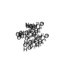 C[C@@H]1C[C@H]2[C@@H]3CCC4=CC(=O)C=C[C@]4(C)[C@@]3(F)[C@@H](O)C[C@]2(C)[C@@]1(O)C(=O)CO.C[C@@H]1C[C@H]2[C@@H]3CCC4=CC(=O)C=C[C@]4(C)[C@@]3(F)[C@@H](O)C[C@]2(C)[C@@]1(O)C(=O)COP(=O)([O-])[O-].[Na+].[Na+]